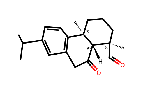 CC(C)c1ccc2c(c1)CC(=O)[C@H]1[C@](C)(C=O)CCC[C@]21C